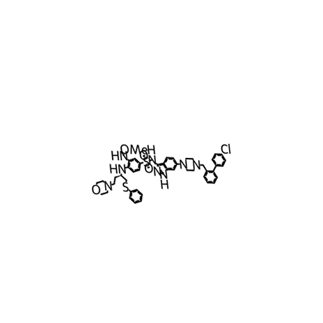 CONc1cc(S(=O)(=O)Nc2n[nH]c3cc(N4CCN(Cc5ccccc5-c5ccc(Cl)cc5)CC4)ccc23)ccc1N[C@H](CCN1CCOCC1)CSc1ccccc1